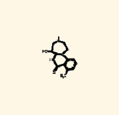 Cc1cccc2c1C(=O)NC1C(O)CNCCN21